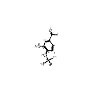 CC(=O)c1ccc(OC(F)(F)F)c(O)c1